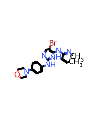 C/C=C\C(=N/C)Nc1nc(Nc2ccc(N3CCOCC3)cc2)ncc1Br